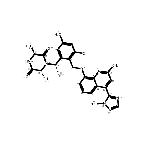 Cc1cc(Cl)c(COc2cccc3c(-c4ncnn4C)cc(C)nc23)c([C@H](C)N2C(=O)[C@H](C)NC(=O)[C@H]2C)c1